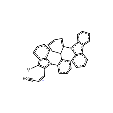 C#C/C=C\c1c(C)c2ccccc2n1-c1ccccc1C1CC=CC=C1n1c2ccccc2c2ccccc21